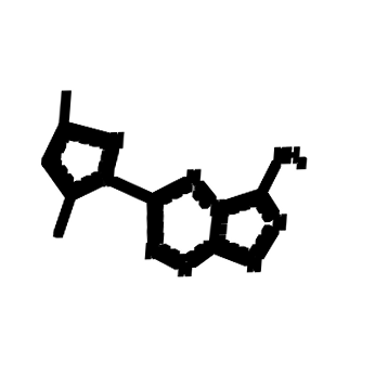 Cc1cc(C)n(-c2nnc3nnc(N)n3n2)n1